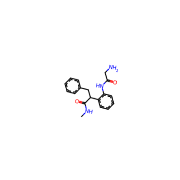 CNC(=O)[C](Cc1ccccc1)c1ccccc1NC(=O)CN